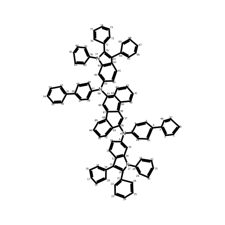 c1ccc(-c2ccc(N(c3ccc4c(-c5ccccc5)c(-c5ccccc5)n(-c5ccccc5)c4c3)c3cc4c5ccccc5c(N(c5ccc(-c6ccccc6)cc5)c5ccc6c(-c7ccccc7)c(-c7ccccc7)n(-c7ccccc7)c6c5)cc4c4ccccc34)cc2)cc1